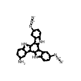 [N-]=[N+]=Nc1ccc2[nH]c3c4c5cc(N)ccc5[nH]c4c4c5cc(N=[N+]=[N-])ccc5[nH]c4c3c2c1